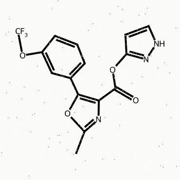 Cc1nc(C(=O)Oc2cc[nH]n2)c(-c2cccc(OC(F)(F)F)c2)o1